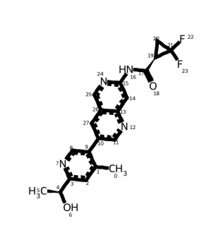 Cc1cc([C@H](C)O)ncc1-c1cnc2cc(NC(=O)[C@H]3CC3(F)F)ncc2c1